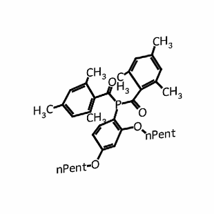 CCCCCOc1ccc(P(C(=O)c2c(C)cc(C)cc2C)C(=O)c2c(C)cc(C)cc2C)c(OCCCCC)c1